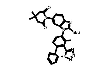 CCCCc1nc2ccc(N3C(=O)CC(C)(C)CC3=O)cc2n1-c1ccc(-c2ccccc2)c(-c2nnn[nH]2)c1C